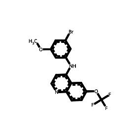 COc1cc(Br)cc(Nc2ccnc3ccc(OC(F)(F)F)cc23)c1